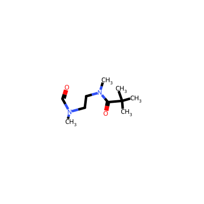 CN(C=O)CCN(C)C(=O)C(C)(C)C